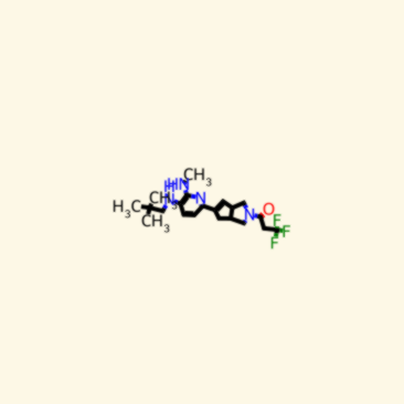 CNc1nc(C2=CC3CN(C(=O)CC(F)(F)F)CC3C2)ccc1NCC(C)(C)C